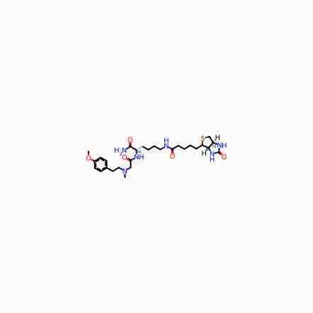 COc1ccc(CCN(C)CC(=O)N[C@@H](CCCCNC(=O)CCCCC2SC[C@H]3NC(=O)N[C@@H]23)C(N)=O)cc1